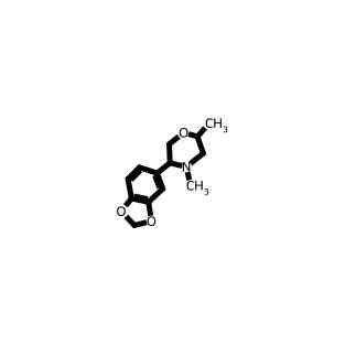 CC1CN(C)C(c2ccc3c(c2)OCO3)CO1